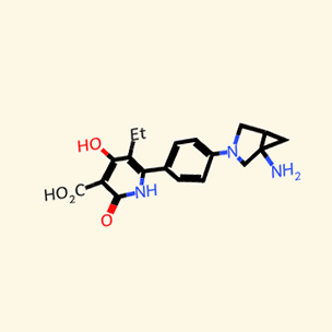 CCc1c(-c2ccc(N3CC4CC4(N)C3)cc2)[nH]c(=O)c(C(=O)O)c1O